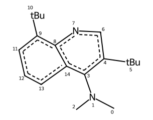 CN(C)c1c(C(C)(C)C)cnc2c(C(C)(C)C)cccc12